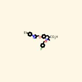 CCc1ccc(-n2cc(COc3ccc(CC(C(=O)O)C(C)=NOCc4ccc(F)cc4)cc3)cn2)cc1